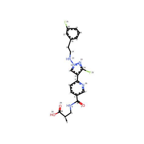 C[C@H](CNC(=O)c1ccc(-c2cn(NCCc3cccc(F)c3)nc2F)nc1)C(=O)O